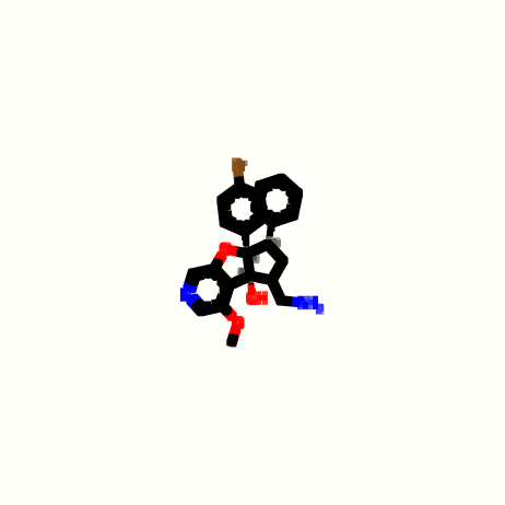 COc1cncc2c1[C@]1(O)C(CN)C[C@@H](c3ccccc3)[C@]1(c1ccc(Br)cc1)O2